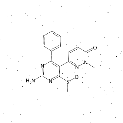 Cn1nc(-c2c(-c3ccccc3)nc(N)nc2[S+](C)[O-])ccc1=O